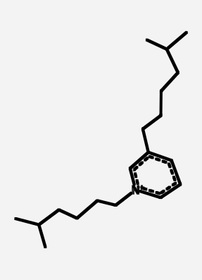 CC(C)CCCCc1ccc[n+](CCCCC(C)C)c1